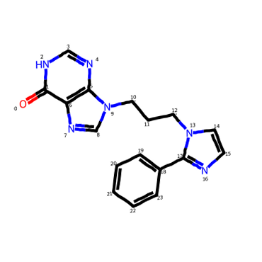 O=c1[nH]cnc2c1ncn2[CH]C[CH]n1ccnc1-c1ccccc1